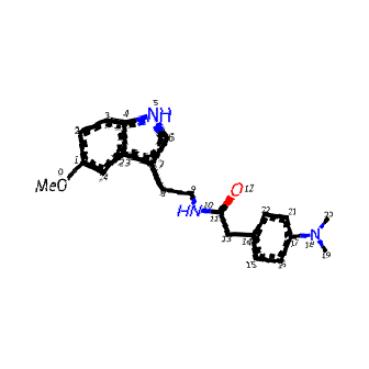 COc1ccc2[nH]cc(CCNC(=O)Cc3ccc(N(C)C)cc3)c2c1